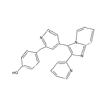 Oc1ccc(-c2cc(-c3c(-c4ccccn4)nc4ccccn34)ccn2)cc1